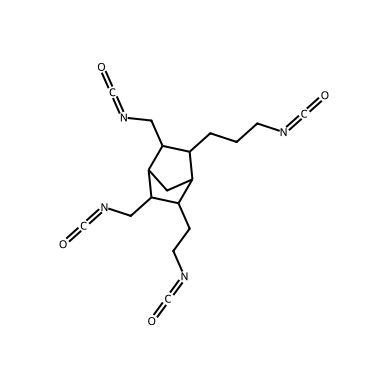 O=C=NCCCC1C(CN=C=O)C2CC1C(CCN=C=O)C2CN=C=O